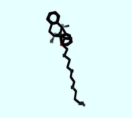 C[C@]12c3ccccc3C[C@H](c3ccccc31)N2C(=O)CCOCCOCCOCCN